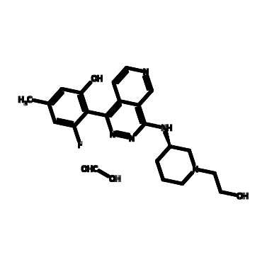 Cc1cc(O)c(-c2nnc(N[C@@H]3CCCN(CCO)C3)c3cnccc23)c(F)c1.O=CO